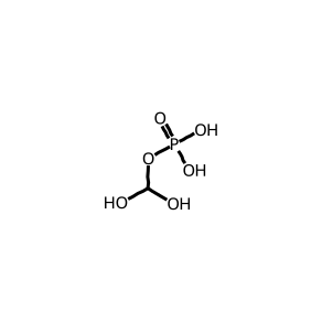 O=P(O)(O)OC(O)O